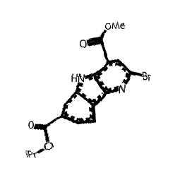 COC(=O)c1cc(Br)nc2c1[nH]c1cc(C(=O)OC(C)C)ccc12